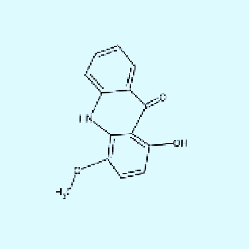 COc1ccc(O)c2c(=O)c3ccccc3[nH]c12